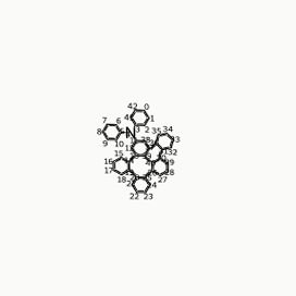 c1ccc(N(c2ccccc2)c2cc3c4ccccc4c4ccccc4c4cccc5c6ccccc6c(c2)c3c45)cc1